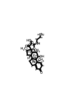 C[C@H]1C[C@H]2[C@@H]3CCC4=CC(=O)C=C[C@]4(C)[C@@]3(F)[C@@H](O)C[C@]2(C)[C@@]1(OC(=O)NCCC(C)(C)C)C(=O)CO